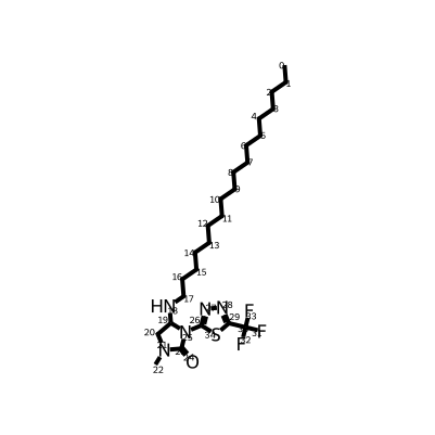 CCCCCCCCCCCCCCCCCCNC1CN(C)C(=O)N1c1nnc(C(F)(F)F)s1